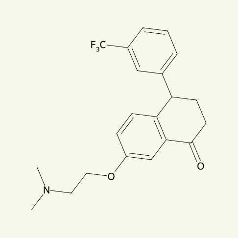 CN(C)CCOc1ccc2c(c1)C(=O)CCC2c1cccc(C(F)(F)F)c1